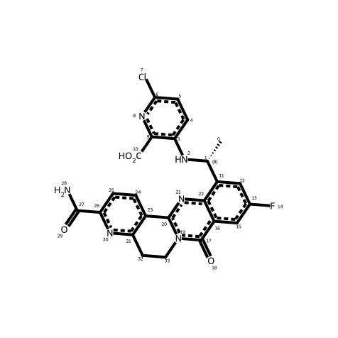 C[C@@H](Nc1ccc(Cl)nc1C(=O)O)c1cc(F)cc2c(=O)n3c(nc12)-c1ccc(C(N)=O)nc1CC3